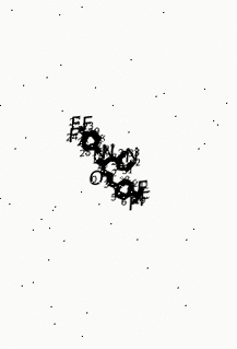 O=C(C=Cc1ccc(C(F)(F)F)cc1)c1cn(-c2ccc(C(F)(F)F)cc2)nc1-c1cccnc1